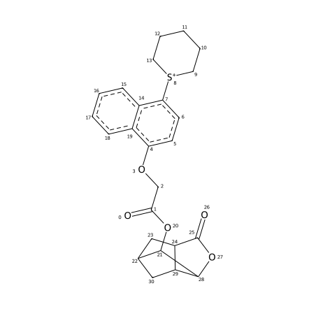 O=C(COc1ccc([S+]2CCCCC2)c2ccccc12)OC1C2CC3C(=O)OC1C3C2